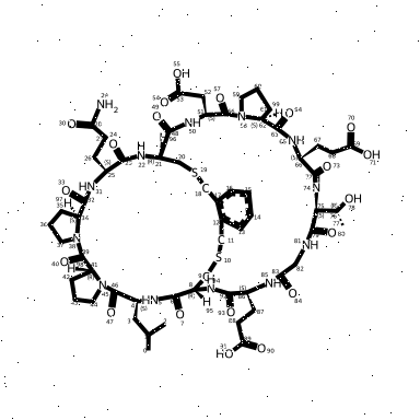 CC(C)C[C@@H]1NC(=O)[C@@H]2CSCc3ccccc3CSC[C@H](NC(=O)[C@H](CCC(N)=O)NC(=O)[C@@H]3CCCN3C(=O)[C@H]3CCCN3C1=O)C(=O)N[C@@H](CC(=O)O)C(=O)N1CCC[C@H]1C(=O)N[C@@H](CCC(=O)O)C(=O)N[C@@H]([C@@H](C)O)C(=O)NCC(=O)N[C@@H](CCC(=O)O)C(=O)N2